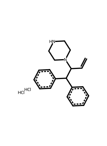 C=CC(C(c1ccccc1)c1ccccc1)N1CCNCC1.Cl.Cl